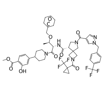 COC(=O)c1ccc(C2CCN(C(=O)[C@@H](NC(=O)[C@@H]3CN(C(=O)c4cnn(Cc5ccc(C(F)(F)F)cc5)c4)CC34CN(C(=O)C3(C(F)(F)F)CC3)C4)[C@@H](C)OCC34CCC(CC3)OC4)CC2)cc1O